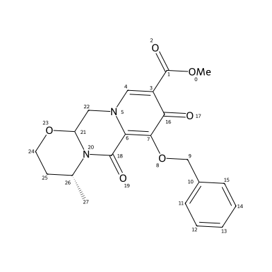 COC(=O)c1cn2c(c(OCc3ccccc3)c1=O)C(=O)N1C(C2)OCC[C@H]1C